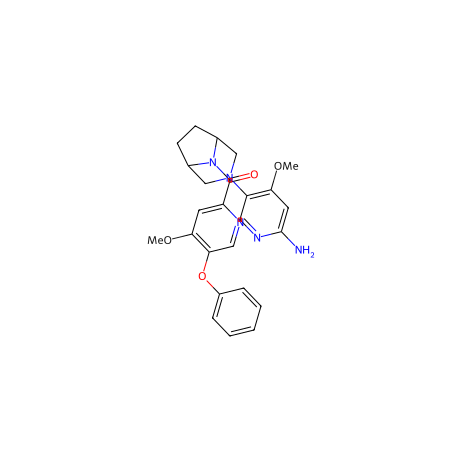 COc1cc(C(=O)N2C3CCC2CN(c2cnc(N)cc2OC)C3)ncc1Oc1ccccc1